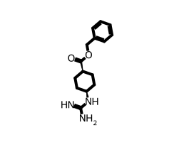 N=C(N)N[C@H]1CC[C@@H](C(=O)OCc2ccccc2)CC1